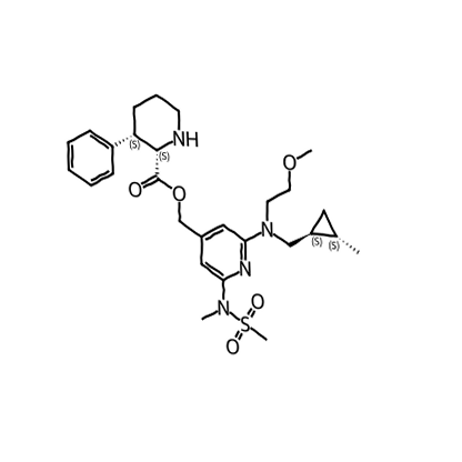 COCCN(C[C@H]1C[C@@H]1C)c1cc(COC(=O)[C@H]2NCCC[C@H]2c2ccccc2)cc(N(C)S(C)(=O)=O)n1